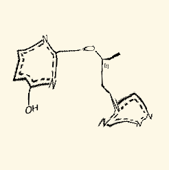 C[C@@H](Cn1cnnn1)Oc1nccc(O)n1